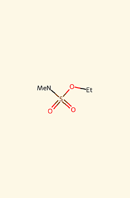 [CH2]NS(=O)(=O)OCC